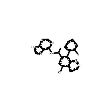 CC(Nc1ncnc2[nH]cnc12)c1cc(Cl)c2ccnnc2c1-c1ccccc1F